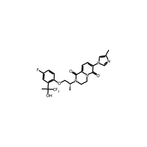 Cc1cn(-c2ccc3n(c2=O)CCN([C@@H](C)COc2ccc(F)cc2C(C)(O)C(F)(F)F)C3=O)cn1